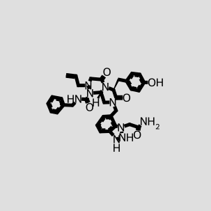 C=CCN1CC(=O)N2[C@@H](Cc3ccc(O)cc3)C(=O)N(Cc3cccc4c3N(CC(N)=O)NN4)C[C@@H]2N1C(=O)NCc1ccccc1